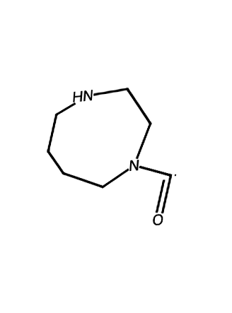 O=[C]N1CCCCNCC1